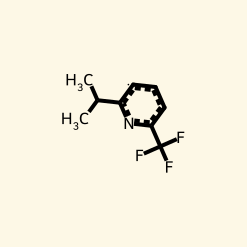 CC(C)c1[c]ccc(C(F)(F)F)n1